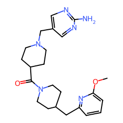 COc1cccc(CC2CCN(C(=O)C3CCN(Cc4cnc(N)nc4)CC3)CC2)n1